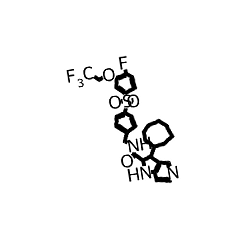 O=C(NCc1ccc(S(=O)(=O)c2ccc(F)c(OCC(F)(F)F)c2)cc1)C1Nc2ccncc2C1C1CCCCCCC1